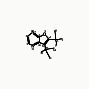 CC(C)(C)c1oc2nccnc2c1C(C)(C)C